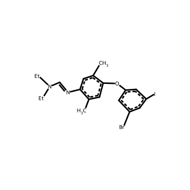 CCN(C=Nc1cc(C)c(Oc2cc(Br)cc(I)c2)cc1C)CC